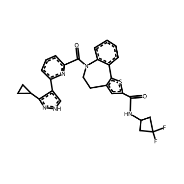 O=C(NC1CC(F)(F)C1)c1cc2c(s1)-c1ccccc1N(C(=O)c1cccc(-c3c[nH]nc3C3CC3)n1)CC2